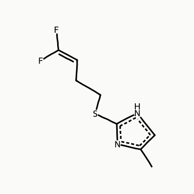 Cc1c[nH]c(SCCC=C(F)F)n1